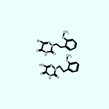 COc1ccccc1CCn1nc(Br)c(=O)[nH]c1=O.COc1ccccc1CCn1nc(O)c(=O)[nH]c1=O